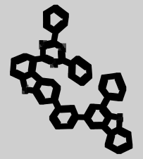 c1ccc(-c2nc(-c3ccccc3)nc(-c3cccc4sc5cc(-c6cccc(-c7cc(-c8ccccc8)c8sc9ccccc9c8c7)c6)ccc5c34)n2)cc1